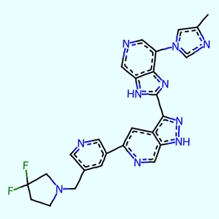 Cc1cn(-c2cncc3[nH]c(-c4n[nH]c5cnc(-c6cncc(CN7CCC(F)(F)C7)c6)cc45)nc23)cn1